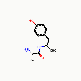 CC[C@H](C)[C@H](N)C(=O)N[C@H]([C]=O)Cc1ccc(O)cc1